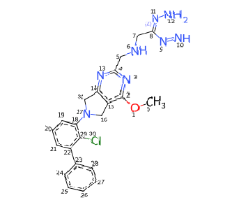 COc1nc(CNC/C(N=N)=N/N)nc2c1CN(c1cccc(-c3ccccc3)c1Cl)C2